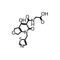 O=C(O)CNC(=O)c1c(O)c2c(n(Cc3cncs3)c1=O)COC2